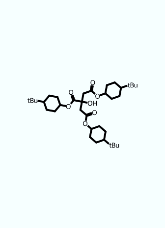 CC(C)(C)C1CCC(OC(=O)CC(O)(CC(=O)OC2CCC(C(C)(C)C)CC2)C(=O)OC2CCC(C(C)(C)C)CC2)CC1